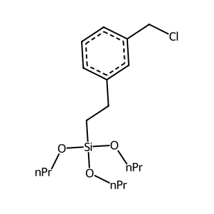 CCCO[Si](CCc1cccc(CCl)c1)(OCCC)OCCC